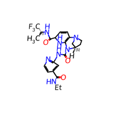 CCNC(=O)c1ccnc(NC(=O)N2C3=C(C=CC(C(=O)N[C@H](C)C(F)(F)F)N3)N3CC[C@H]2C3)c1